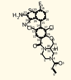 C=CC(=O)N1CCN2C(=O)c3cc(Cl)c(-c4ccc(F)c5sc(N)c(C#N)c45)c(Cl)c3OC[C@H]2C1